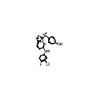 C[C@@H](c1ccc(O)cc1)c1nnc2ccc(Nc3ccc(F)c(Cl)c3)nn12